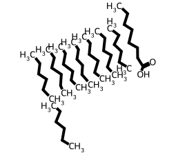 CCCCCC.CCCCCC.CCCCCC.CCCCCC.CCCCCC.CCCCCC.CCCCCC.CCCCCC.CCCCCCCC(=O)O